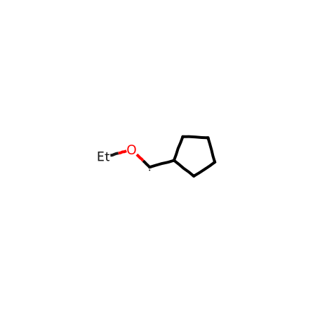 CCO[CH]C1CCCC1